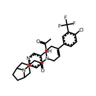 CC(=O)Nc1ccc(N2C3CCC2CN(CC(=O)N2CC=C(c4ccc(Cl)c(C(F)(F)F)c4)CC2)C3)nc1